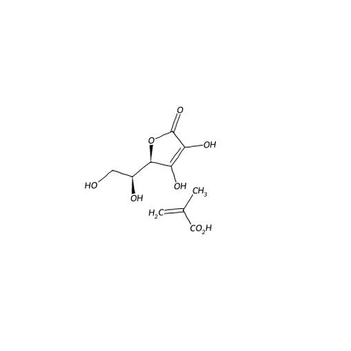 C=C(C)C(=O)O.O=C1O[C@H]([C@@H](O)CO)C(O)=C1O